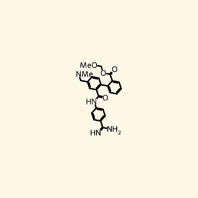 CNCc1ccc(-c2ccccc2C(=O)OCOC)c(C(=O)Nc2ccc(C(=N)N)cc2)c1